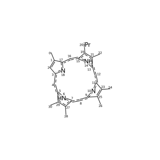 CC1=Cc2cc3[nH]c(cc4nc(cc5[nH]c(cc1n2)c(C(C)C)c5C)C(C)=C4C)c(C)c3C